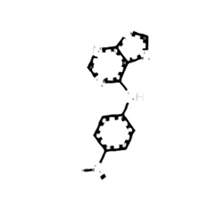 O=[N+]([O-])c1ccc(Nc2ncnc3scnc23)cc1